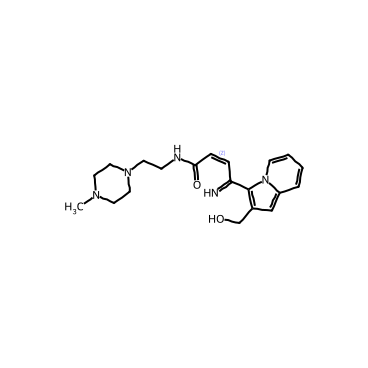 CN1CCN(CCNC(=O)/C=C\C(=N)c2c(CO)cc3ccccn23)CC1